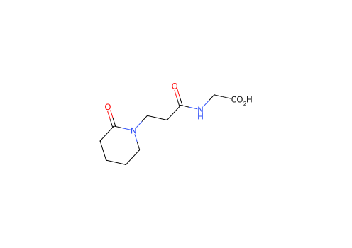 O=C(O)CNC(=O)CCN1CCCCC1=O